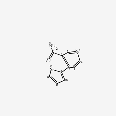 NC(=O)c1cnccc1-c1cccs1